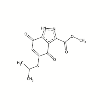 COC(=O)c1n[nH]c2c1C(=O)C(SC(C)C)=CC2=O